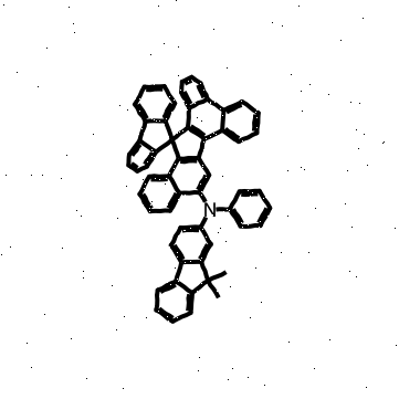 CC1(C)c2ccccc2-c2ccc(N(c3ccccc3)c3cc4c(c5ccccc35)C3(c5ccccc5-c5ccccc53)c3c-4c4ccccc4c4ccccc34)cc21